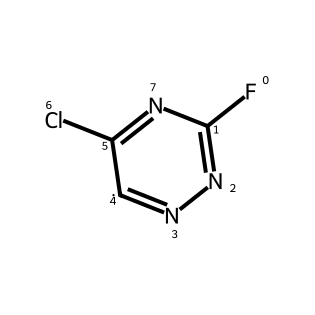 Fc1nn[c]c(Cl)n1